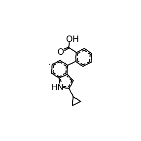 O=C(O)c1ccccc1-c1c[c]cc2[nH]c(C3CC3)cc12